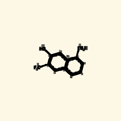 O=C(O)c1cccc2cc(C(F)(F)F)c(O)cc12